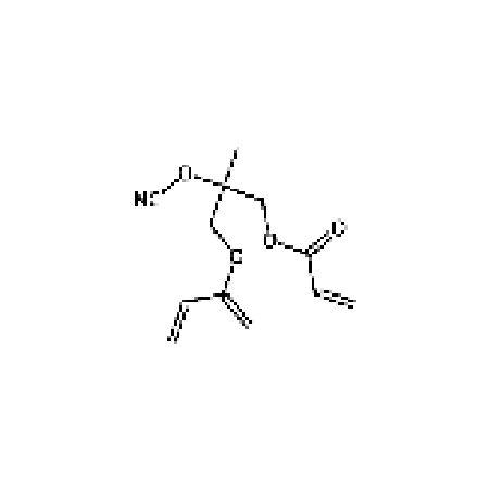 C=CC(=C)OCC(C)(COC(=O)C=C)OC#N